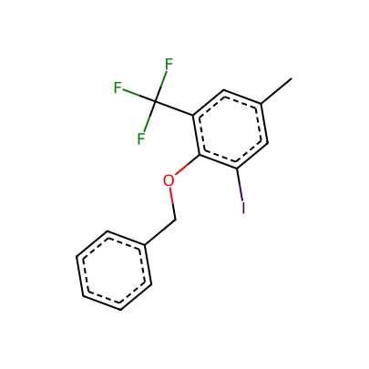 Cc1cc(I)c(OCc2ccccc2)c(C(F)(F)F)c1